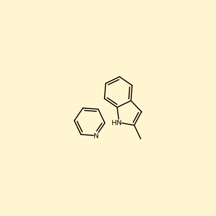 Cc1cc2ccccc2[nH]1.c1ccncc1